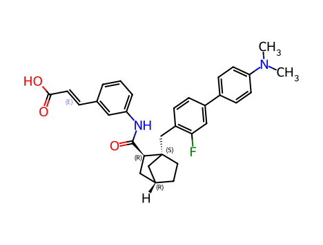 CN(C)c1ccc(-c2ccc(C[C@@]34CC[C@H](C[C@H]3C(=O)Nc3cccc(/C=C/C(=O)O)c3)C4)c(F)c2)cc1